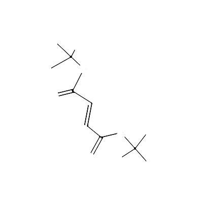 CCC(C)(C)OC(=O)C=CC(=O)OC(C)(C)CC